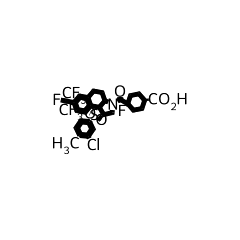 Cc1ccc(S(=O)(=O)C23CCN(C(=O)[C@]4(F)CC[C@@H](C(=O)O)CC4)C2CCc2cc(C(F)(C(F)(F)F)C(F)(F)F)ccc23)cc1Cl